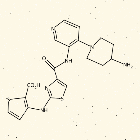 NC1CCN(c2ccncc2NC(=O)c2csc(Nc3ccsc3C(=O)O)n2)CC1